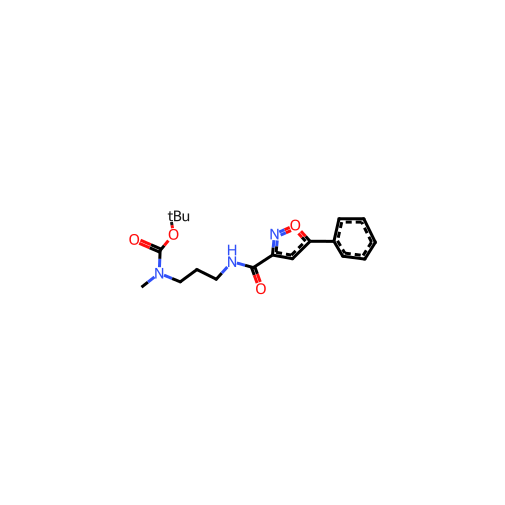 CN(CCCNC(=O)c1cc(-c2ccccc2)on1)C(=O)OC(C)(C)C